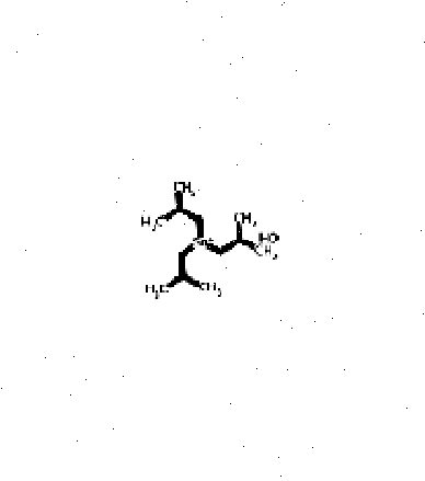 CC(C)[CH2][Sn+]([CH2]C(C)C)[CH2]C(C)C.[OH-]